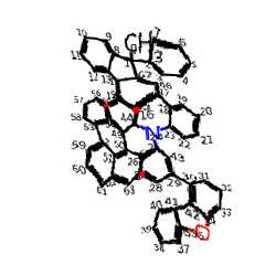 CC1(c2ccccc2)c2ccccc2-c2ccc(-c3ccccc3N(c3cccc(-c4cccc5oc6ccccc6c45)c3)C3CC=CC=C3C3=c4c(-c5ccccc5)cccc4=CCC3)cc21